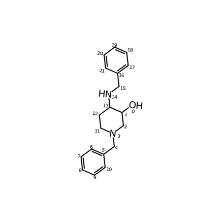 OC1CN(Cc2ccccc2)CCC1NCc1ccccc1